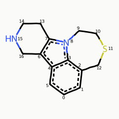 c1cc2c3c(c1)c1c(n3CCSC2)CCNC1